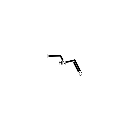 O=[C]NCI